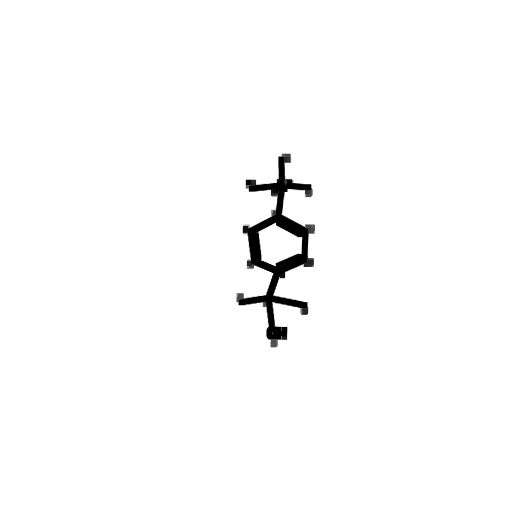 CC(C)(O)c1ccc([N+](C)(C)C)cc1